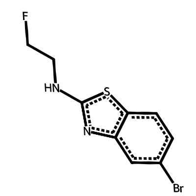 FCCNc1nc2cc(Br)ccc2s1